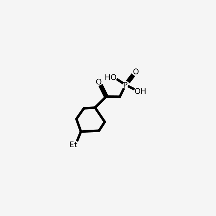 CCC1CCC(C(=O)CP(=O)(O)O)CC1